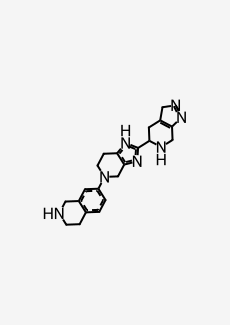 c1cc2c(cc1N1CCc3[nH]c(C4CC5=C(CN4)N=NC5)nc3C1)CNCC2